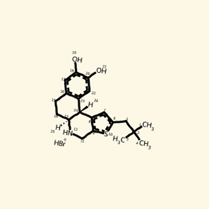 Br.CC(C)(C)Cc1cc2c(s1)CN[C@H]1CCc3cc(O)c(O)cc3[C@H]21